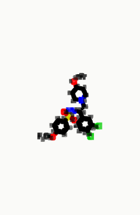 CCCOC1CCN(C[C@@H](NS(=O)(=O)c2ccc(OC(F)(F)F)cc2)c2ccc(Cl)c(Cl)c2)CC1